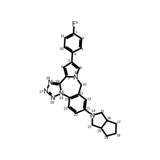 Fc1ccc(-c2cc3n(c2)Cc2cc(N4CC5CCCC5C4)ccc2-n2nnnc2-3)cc1